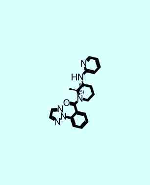 C[C@H]1[C@H](Nc2ccccn2)CCCN1C(=O)c1ccccc1-n1nccn1